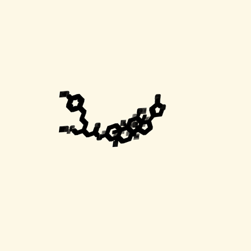 C[C@]12CC[C@H](OC(=O)CC(CCCc3ccc(O)cc3)CC(=O)O)C[C@H]1CC[C@@H]1[C@@H]2C[C@@H](O)[C@]2(C)[C@@H](C3=CC(=O)OC3)CCC12O